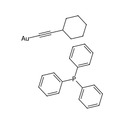 [Au][C]#CC1CCCCC1.c1ccc(P(c2ccccc2)c2ccccc2)cc1